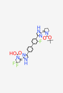 CC(C)(C)OC(=O)N1CCC[C@H]1c1nc(-c2ccc(-c3ccc(-c4c[nH]c([C@@H]5CC(F)(F)CN5C(=O)O)n4)cc3)cc2F)c[nH]1